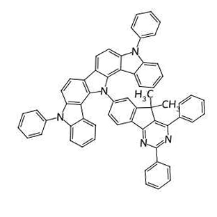 CC1(C)c2cc(-n3c4c(ccc5c4c4ccccc4n5-c4ccccc4)c4ccc5c(c6ccccc6n5-c5ccccc5)c43)ccc2-c2nc(-c3ccccc3)nc(-c3ccccc3)c21